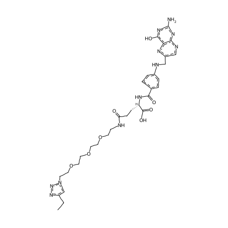 CCc1cn(CCOCCOCCOCCNC(=O)CC[C@H](NC(=O)c2ccc(NCc3cnc4nc(N)nc(O)c4n3)cc2)C(=O)O)nn1